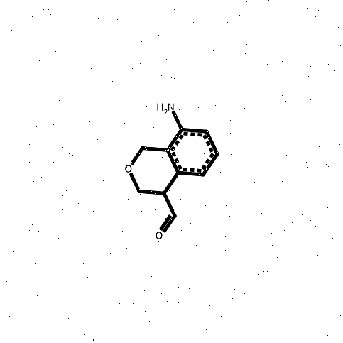 Nc1cccc2c1COCC2C=O